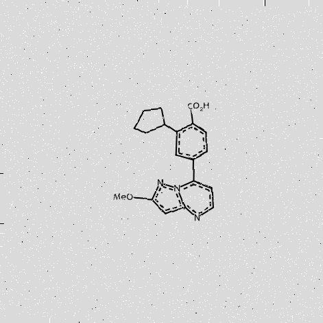 COc1cc2nccc(-c3ccc(C(=O)O)c(C4CCCC4)c3)n2n1